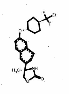 CCC(F)(F)[C@H]1CC[C@H](Oc2ccc3cc([C@]4(C)COC(=O)N4)ccc3c2)CC1